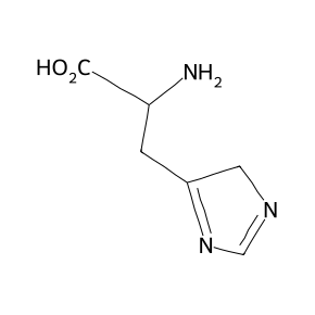 NC(CC1=NC=NC1)C(=O)O